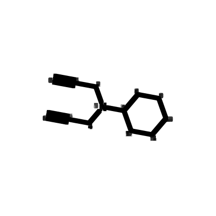 C#CCN(CC#C)C1CC[CH]CC1